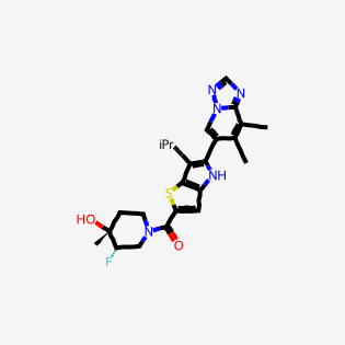 Cc1c(-c2[nH]c3cc(C(=O)N4CC[C@@](C)(O)[C@@H](F)C4)sc3c2C(C)C)cn2ncnc2c1C